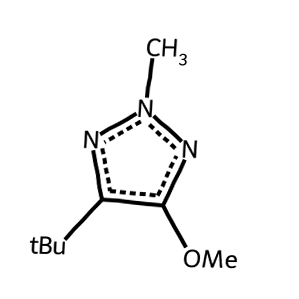 COc1nn(C)nc1C(C)(C)C